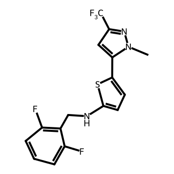 Cn1nc(C(F)(F)F)cc1-c1ccc(NCc2c(F)cccc2F)s1